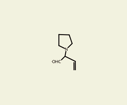 C=CC([C]=O)N1CCCC1